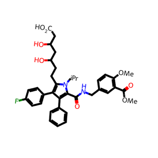 COC(=O)c1cc(CNC(=O)c2c(-c3ccccc3)c(-c3ccc(F)cc3)c(CCC(O)CC(O)CC(=O)O)n2C(C)C)ccc1OC